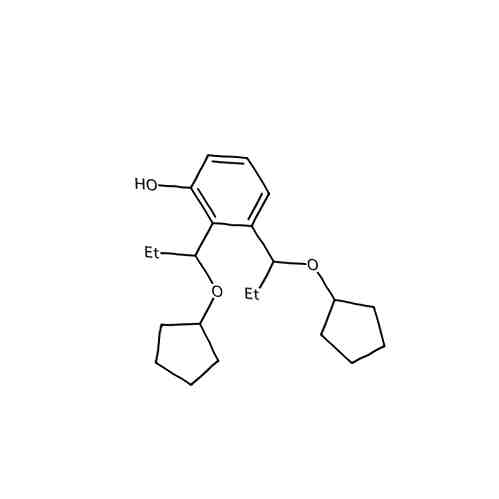 CCC(OC1CCCC1)c1cccc(O)c1C(CC)OC1CCCC1